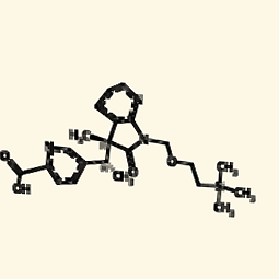 C[C@H](c1ccc(C(=O)O)nc1)[C@@]1(C)C(=O)N(COCC[Si](C)(C)C)c2ncccc21